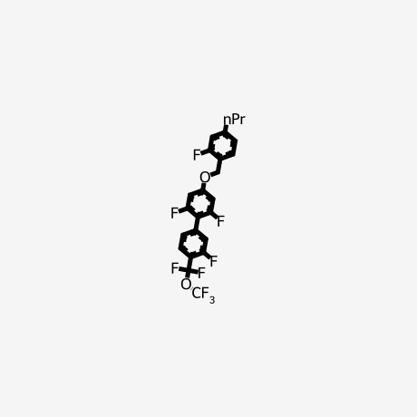 CCCc1ccc(COc2cc(F)c(-c3ccc(C(F)(F)OC(F)(F)F)c(F)c3)c(F)c2)c(F)c1